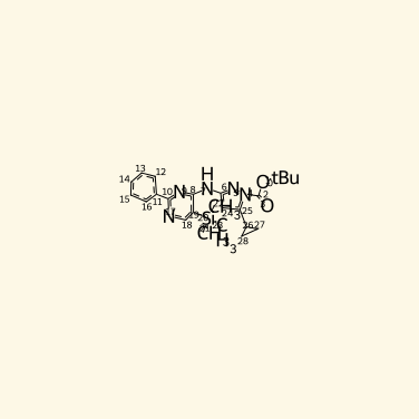 CC(C)(C)OC(=O)n1nc(Nc2nc(-c3ccccc3)ncc2[Si](C)(C)C)cc1C1CC1